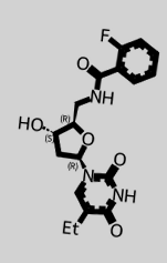 CCc1cn([C@H]2C[C@H](O)[C@@H](CNC(=O)c3ccccc3F)O2)c(=O)[nH]c1=O